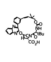 CC1(C)/C=C/c2cccc(c2)-c2nc3ccccc3nc2O[C@@H]2C[C@@H](C(=O)O)N(C2)C(=O)[C@H](C(C)(C)C)NC(=O)OC1